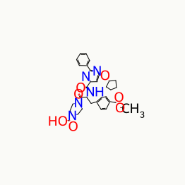 COC(=O)c1ccc(CC(NC(=O)c2cc(OC3CCCC3)nc(-c3ccccc3)n2)C(=O)N2CCN(C(=O)O)CC2)cc1